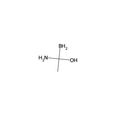 BC(C)(N)O